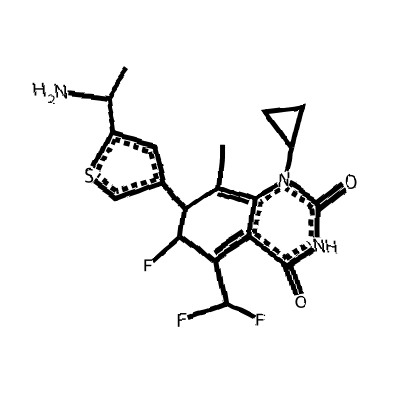 CC1=c2c(c(=O)[nH]c(=O)n2C2CC2)=C(C(F)F)C(F)C1c1csc(C(C)N)c1